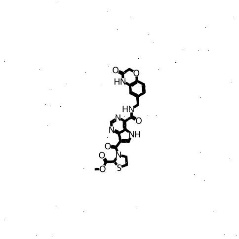 COC(=O)C1SCCN1C(=O)c1c[nH]c2c(C(=O)NCc3ccc4c(c3)NC(=O)CO4)ncnc12